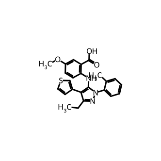 CCc1nn(-c2ccccc2C)c(Nc2ccc(OC)cc2C(=O)O)c1-c1ccsc1